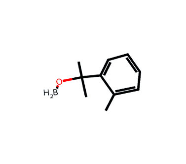 BOC(C)(C)c1ccccc1C